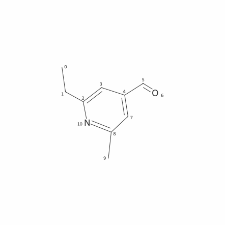 CCc1cc(C=O)cc(C)n1